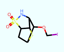 O=S1(=O)NC2C(OCI)C3CC1C2S3